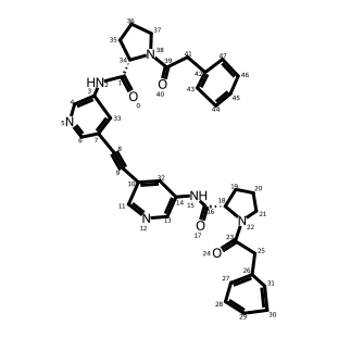 O=C(Nc1cncc(C#Cc2cncc(NC(=O)[C@@H]3CCCN3C(=O)Cc3ccccc3)c2)c1)[C@@H]1CCCN1C(=O)Cc1ccccc1